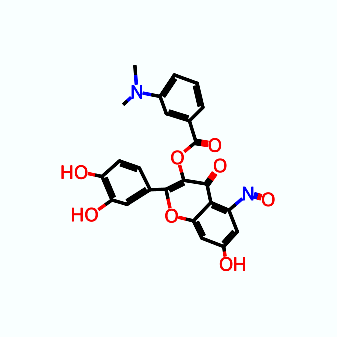 CN(C)c1cccc(C(=O)Oc2c(-c3ccc(O)c(O)c3)oc3cc(O)cc(N=O)c3c2=O)c1